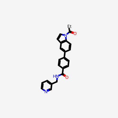 CCC(=O)n1ccc2cc(-c3ccc(C(=O)NCc4cccnc4)cc3)ccc21